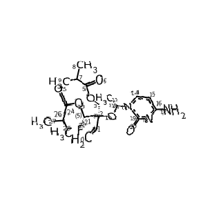 C=C[C@](COC(=O)C(C)C)(O[C@H](C)n1ccc(N)nc1=O)[C@H](F)OC(=O)C(C)C